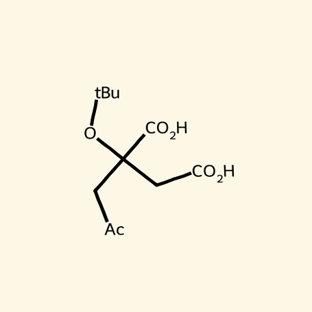 CC(=O)CC(CC(=O)O)(OC(C)(C)C)C(=O)O